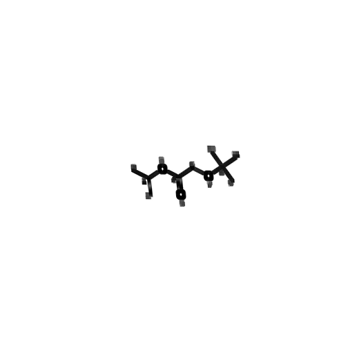 CC(C)OC(=O)COC(C)(C)C